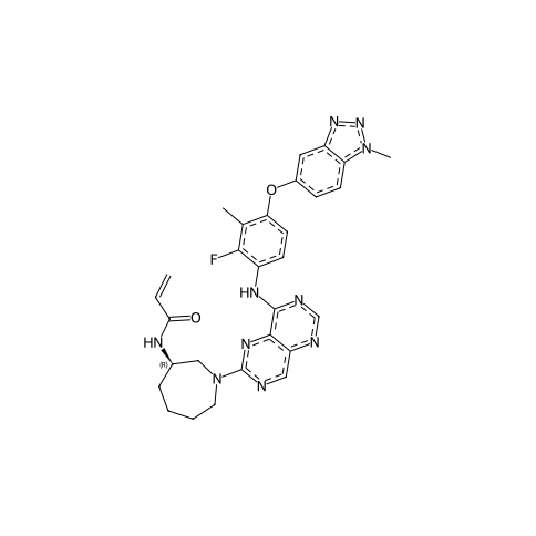 C=CC(=O)N[C@@H]1CCCCN(c2ncc3ncnc(Nc4ccc(Oc5ccc6c(c5)nnn6C)c(C)c4F)c3n2)C1